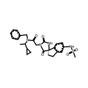 CC(C1CC1)N(Cc1ccccc1)C(=O)CN1C(=O)N[C@]2(CCc3cc(NS(C)(=O)=O)ccc32)C1=O